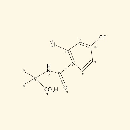 O=C(NC1(C(=O)O)CC1)c1ccc(Cl)cc1Cl